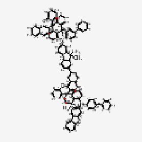 CC1(C)c2cc(-c3ccc4ccc5c(c4c3)Oc3ccccc3C53c4ccccc4C(C)(C)c4c(N(c5ccc(-c6ccccc6)cc5)c5ccc6c(c5)oc5ccccc56)cccc43)ccc2-c2ccc(N(c3ccc(-c4ccccc4)cc3)c3cccc4c3C(C)(C)c3ccccc3C43c4ccccc4Oc4c3ccc3ccccc43)cc21